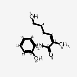 CC(=CCCCO)C(N)=O.Oc1ccccc1